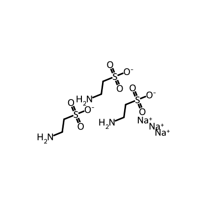 NCCS(=O)(=O)[O-].NCCS(=O)(=O)[O-].NCCS(=O)(=O)[O-].[Na+].[Na+].[Na+]